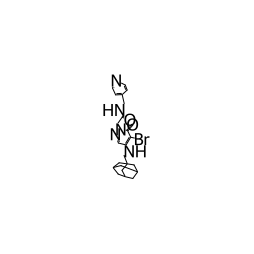 O=C(Cn1ncc(NCC23CC4CC(CC(C4)C2)C3)c(Br)c1=O)NCc1ccncc1